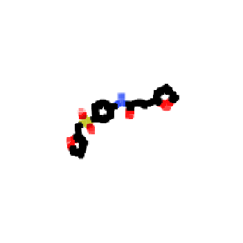 O=C(/C=C/c1ccco1)Nc1ccc(S(=O)(=O)Cc2ccco2)cc1